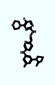 Cc1cc(Nc2ccc(/C=N/Nc3ncc(F)c(N4CCOCC4)n3)nc2)cc(N2CCCC2C)c1